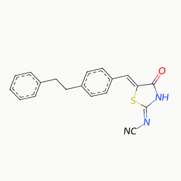 N#CN=C1NC(=O)C(=Cc2ccc(CCc3ccccc3)cc2)S1